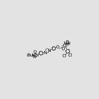 CCC(C)n1ncn(-c2ccc(N3CCN(c4ccc(OCC5COC(Cn6nccn6)(c6ccc(Cl)c(Cl)c6)O5)cc4)CC3)cc2)c1=O